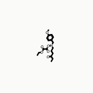 CCOC(=O)C(=O)ON(CCCC(=O)CC)Cc1ccc(OC)cc1